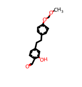 COCOc1ccc(CCc2ccc(C=O)c(O)c2)cc1